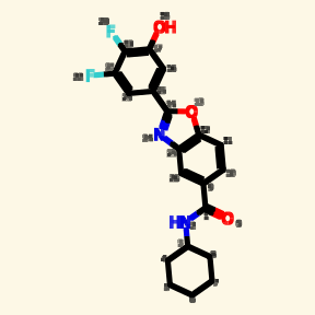 O=C(NC1CCCCC1)c1ccc2oc(-c3cc(O)c(F)c(F)c3)nc2c1